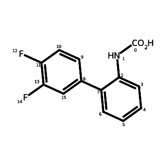 O=C(O)Nc1ccccc1-c1ccc(F)c(F)c1